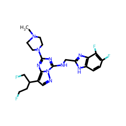 CN1CCN(c2nc(NCc3nc4c(F)c(F)ccc4[nH]3)n3ncc(C(CF)CCF)c3n2)CC1